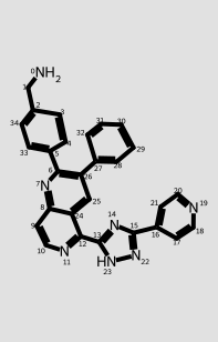 NCc1ccc(-c2nc3ccnc(-c4nc(-c5ccncc5)n[nH]4)c3cc2-c2ccccc2)cc1